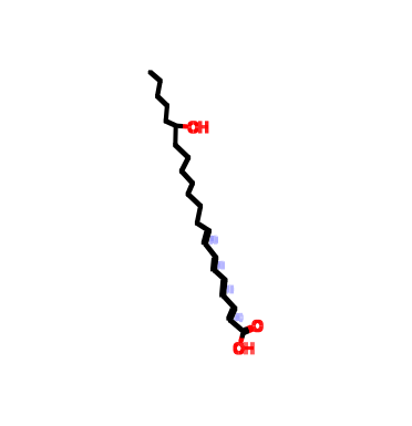 CCCCCC(O)CCCCCCC/C=C/C=C/C=C/C=C/C(=O)O